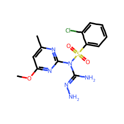 COc1cc(C)nc(N(C(N)=NN)S(=O)(=O)c2ccccc2Cl)n1